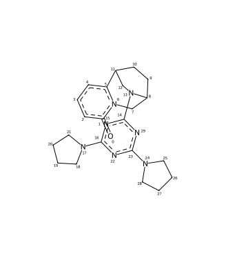 O=c1cccc2n1CC1CCC2CN1c1nc(N2CCCC2)nc(N2CCCC2)n1